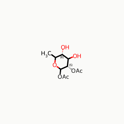 CC(=O)OC1OC(C)[C@H](O)C(O)[C@@H]1OC(C)=O